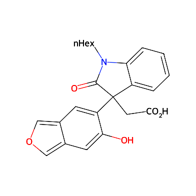 CCCCCCN1C(=O)C(CC(=O)O)(c2cc3cocc3cc2O)c2ccccc21